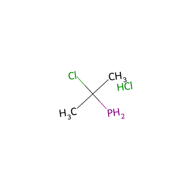 CC(C)(P)Cl.Cl